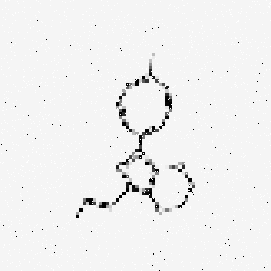 C/C=C/c1sc(C2=C/C=C\C(C)=C/C=C\2)c2c1OCCO2